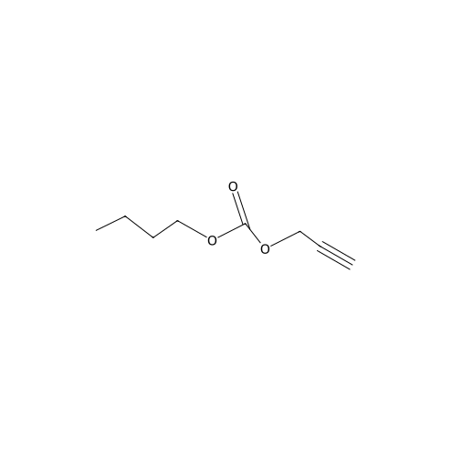 C#CCOC(=O)OCCCC